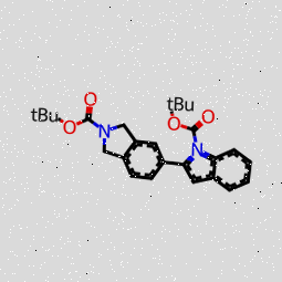 CC(C)(C)OC(=O)N1Cc2ccc(-c3cc4ccccc4n3C(=O)OC(C)(C)C)cc2C1